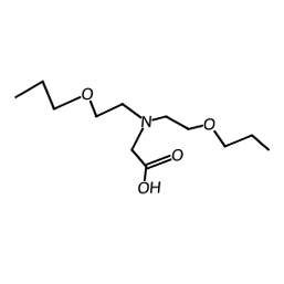 CCCOCCN(CCOCCC)CC(=O)O